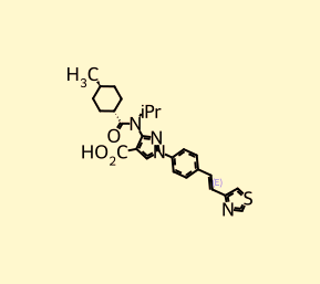 CC(C)N(c1nn(-c2ccc(/C=C/c3cscn3)cc2)cc1C(=O)O)C(=O)[C@H]1CC[C@H](C)CC1